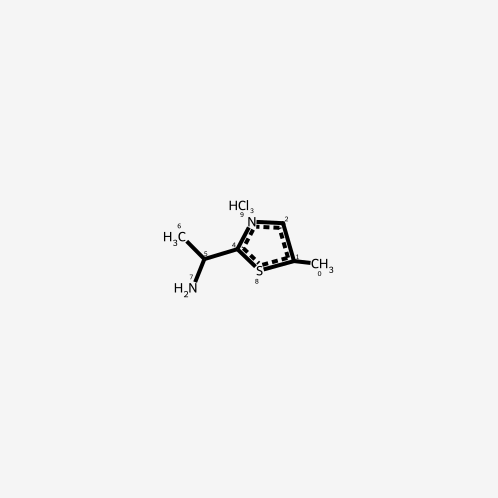 Cc1cnc(C(C)N)s1.Cl